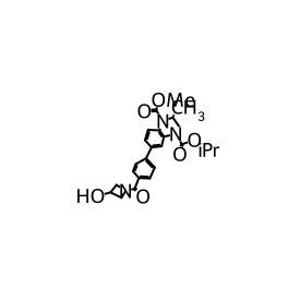 COC(=O)N1c2ccc(-c3ccc(C(=O)N4CC(O)C4)cc3)cc2N(C(=O)OC(C)C)C[C@@H]1C